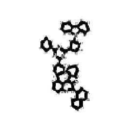 c1ccc(-c2nc(-c3ccc(-c4cccc5nc(-c6cccc7ccccc67)c6sc7ccccc7c6c45)cc3)nc(-c3cccc(-n4c5ccccc5c5ccccc54)c3)n2)cc1